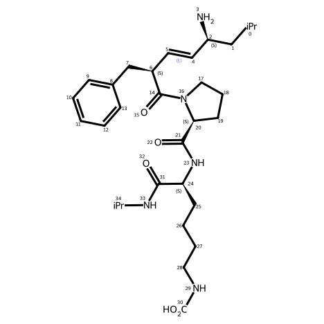 CC(C)C[C@H](N)/C=C/[C@H](Cc1ccccc1)C(=O)N1CCC[C@H]1C(=O)N[C@@H](CCCCNC(=O)O)C(=O)NC(C)C